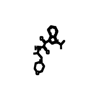 CC(CN1CCOCC1)NC(=O)C(=O)c1cn(C(C)C)c2ccccc12